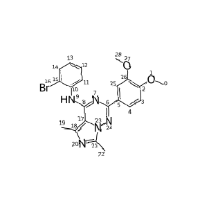 COc1ccc(-c2nc(Nc3ccccc3Br)c3c(C)nc(C)n3n2)cc1OC